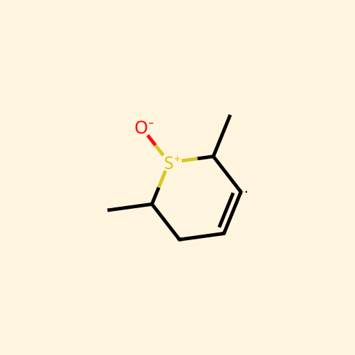 CC1[C]=CCC(C)[S+]1[O-]